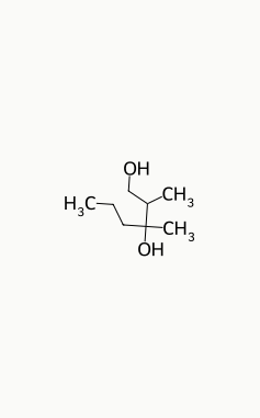 CCCC(C)(O)C(C)CO